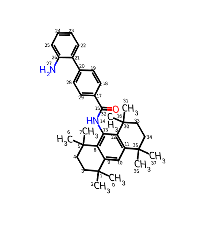 CC1(C)CCC(C)(C)c2c1cc1c(c2NC(=O)c2[c]cc(-c3ccccc3N)cc2)C(C)(C)CCC1(C)C